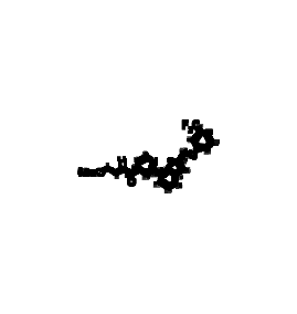 COCCNC(=O)c1ccnc(-c2cccc3cc(COc4cccc(C(F)(F)F)c4)sc23)c1